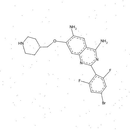 Nc1cc2c(N)nc(-c3c(F)cc(Br)cc3F)nc2cc1OCC1CCNCC1